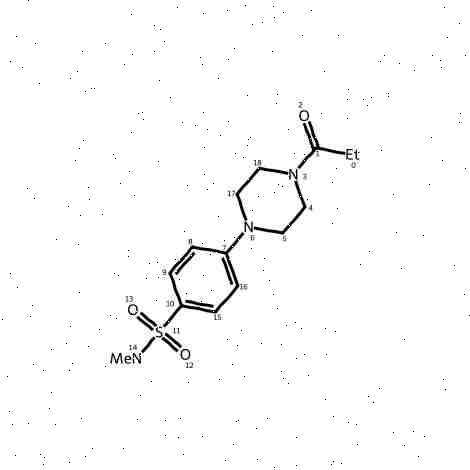 CCC(=O)N1CCN(c2ccc(S(=O)(=O)NC)cc2)CC1